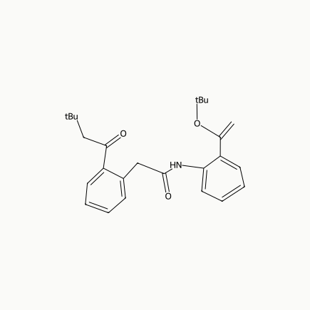 C=C(OC(C)(C)C)c1ccccc1NC(=O)Cc1ccccc1C(=O)CC(C)(C)C